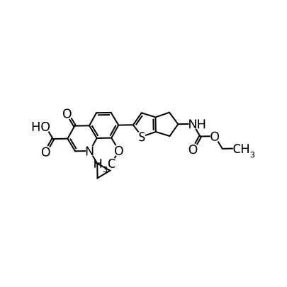 CCOC(=O)NC1Cc2cc(-c3ccc4c(=O)c(C(=O)O)cn(C5CC5)c4c3OC)sc2C1